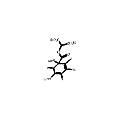 CCOC(=O)C(OC(=O)C1(NC)C(I)=C(C(C)=O)C(I)=C(NC(C)=O)C1I)C(=O)OCC